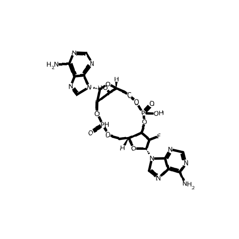 Nc1ncnc2c1ncn2[C@@H]1O[C@@H]2CO[PH](=O)OC3C(O)[C@@H](COP(=O)(O)OC2C1F)O[C@H]3n1cnc2c(N)ncnc21